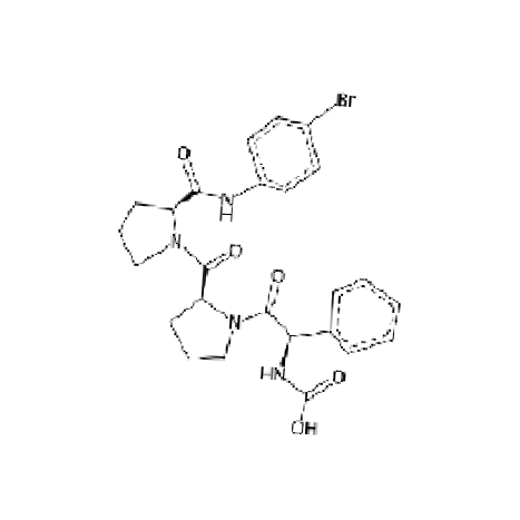 O=C(O)N[C@@H](C(=O)N1CCC[C@H]1C(=O)N1CCC[C@H]1C(=O)Nc1ccc(Br)cc1)c1ccccc1